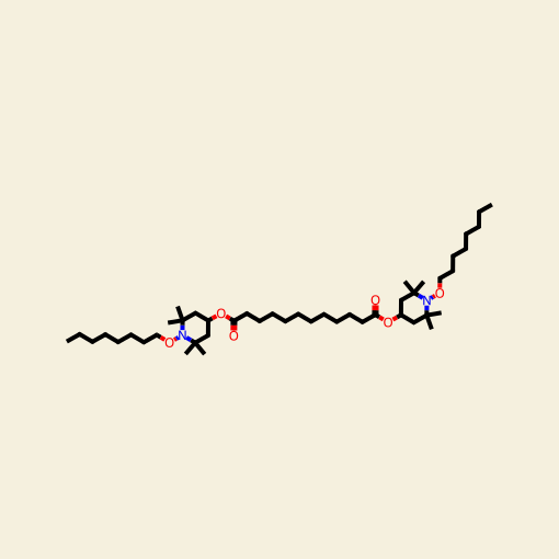 CCCCCCCCON1C(C)(C)CC(OC(=O)CCCCCCCCCCC(=O)OC2CC(C)(C)N(OCCCCCCCC)C(C)(C)C2)CC1(C)C